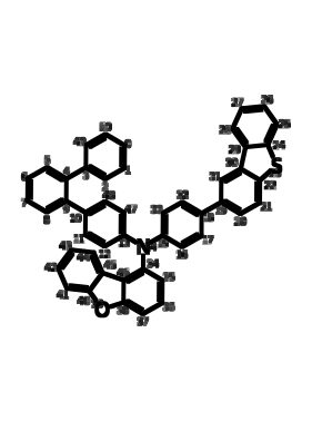 c1ccc(-c2ccccc2-c2ccc(N(c3ccc(-c4ccc5sc6ccccc6c5c4)cc3)c3cccc4oc5ccccc5c34)cc2)cc1